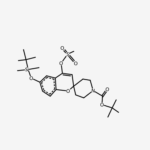 CC(C)(C)OC(=O)N1CCC2(C=C(OS(C)(=O)=O)c3cc(O[Si](C)(C)C(C)(C)C)ccc3O2)CC1